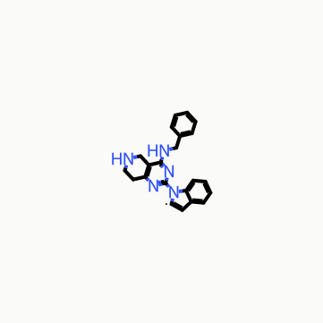 [c]1cc2ccccc2n1-c1nc2c(c(NCc3ccccc3)n1)CNCC2